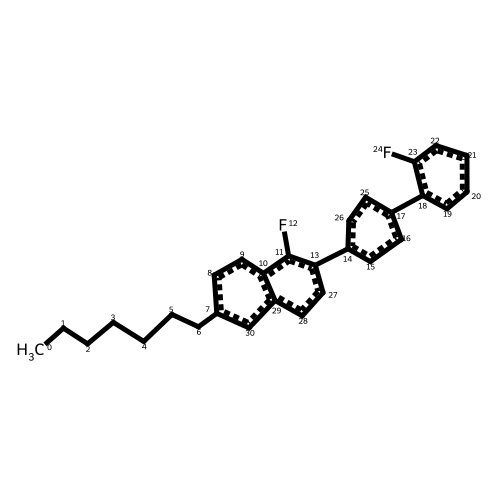 CCCCCCCc1ccc2c(F)c(-c3ccc(-c4ccccc4F)cc3)ccc2c1